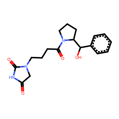 O=C1CN(CCCC(=O)N2CCCC2C(O)c2ccccc2)C(=O)N1